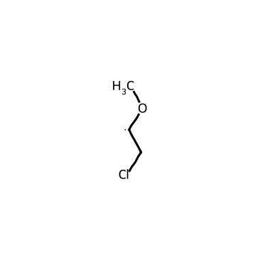 CO[CH]CCl